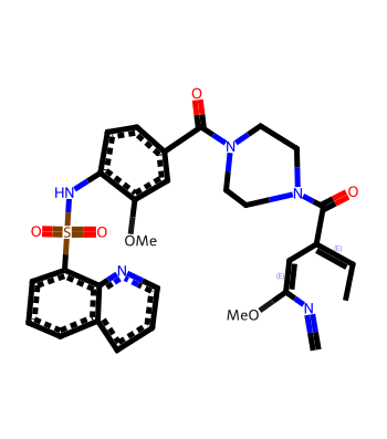 C=N/C(=C\C(=C/C)C(=O)N1CCN(C(=O)c2ccc(NS(=O)(=O)c3cccc4cccnc34)c(OC)c2)CC1)OC